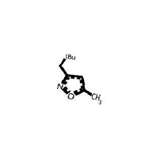 Cc1cc(CC(C)(C)C)no1